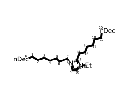 CCCCCCCCCCCCCCCCC[n+]1ccn(CC)c1CCCCCCCCCCCCCCCC